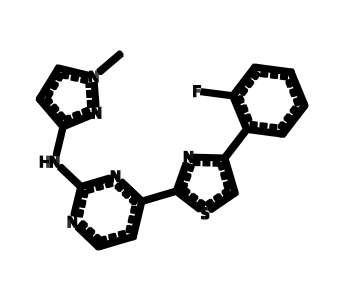 Cn1ccc(Nc2nccc(-c3nc(-c4ccccc4F)cs3)n2)n1